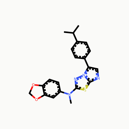 CC(C)c1ccc(-c2cnc3sc(N(C)c4ccc5c(c4)OCO5)nn23)cc1